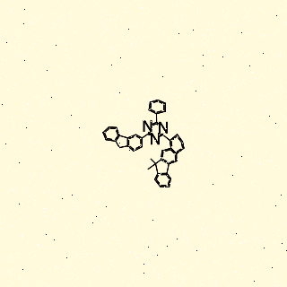 CC1(C)c2ccccc2-c2cc3cccc(-c4nc(-c5ccccc5)nc(-c5ccc6c(c5)-c5ccccc5C6)n4)c3cc21